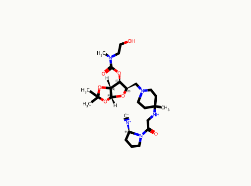 [C-]#[N+][C@@H]1CCCN1C(=O)CNC1(C)CCN(C[C@H]2O[C@@H]3OC(C)(C)O[C@@H]3[C@H]2OC(=O)N(C)CCO)CC1